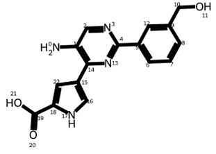 Nc1cnc(-c2cccc(CO)c2)nc1-c1c[nH]c(C(=O)O)c1